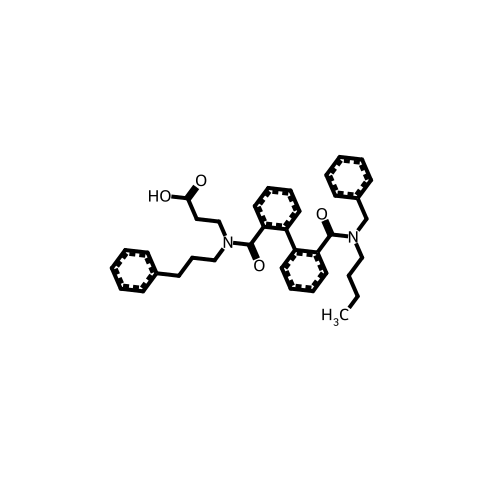 CCCCN(Cc1ccccc1)C(=O)c1ccccc1-c1ccccc1C(=O)N(CCCc1ccccc1)CCC(=O)O